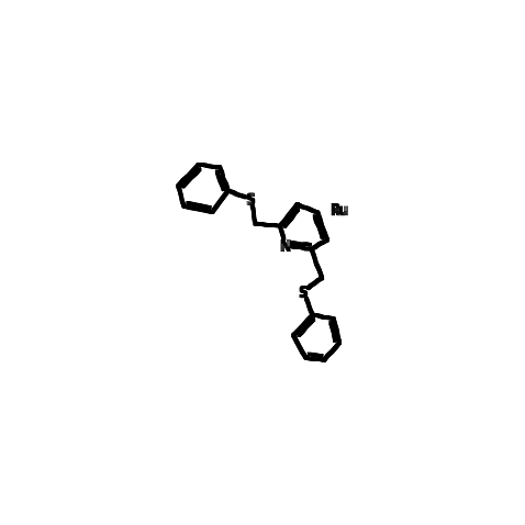 [Ru].c1ccc(SCc2cccc(CSc3ccccc3)n2)cc1